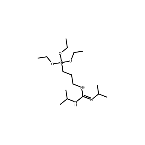 CCO[Si](CCCN/C(=N\C(C)C)NC(C)C)(OCC)OCC